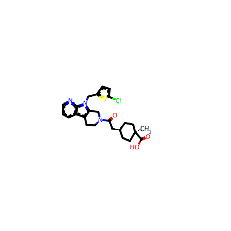 C[C@]1(C(=O)O)CC[C@@H](CC(=O)N2CCc3c(n(Cc4ccc(Cl)s4)c4ncccc34)C2)CC1